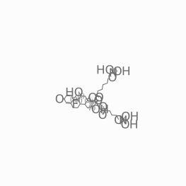 C[C@]12C=CC(=O)C=C1CCC1C3C[C@@H](O)[C@](OC(=O)CCCCCON(O)O)(C(=O)COC(=O)CCCON(O)O)[C@@]3(C)C[C@H](O)[C@@]12F